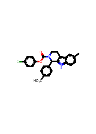 Cc1ccc2[nH]c3c(c2c1)CCN(C(=O)Oc1ccc(Cl)cc1)C3c1ccc(C(=O)O)cc1